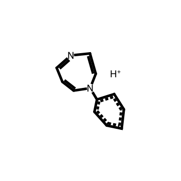 C1=CN(c2ccccc2)C=CN=C1.[H+]